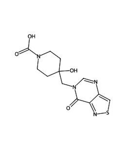 O=C(O)N1CCC(O)(Cn2cnc3csnc3c2=O)CC1